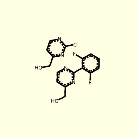 OCc1ccnc(-c2c(F)cccc2F)n1.OCc1ccnc(Cl)n1